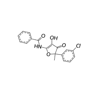 CC1(c2cccc(Cl)c2)OC(NC(=O)c2ccccc2)=C(O)C1=O